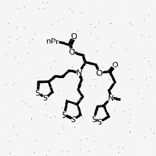 CCCC(=O)OCC(COC(=O)CCN(C)C1CSSC1)N(CCCC1CSSC1)CCCC1CSSC1